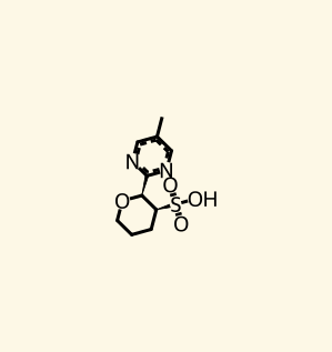 Cc1cnc([C@@H]2OCCC[C@@H]2S(=O)(=O)O)nc1